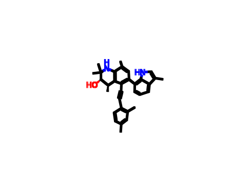 Cc1ccc(C#Cc2c(-c3cccc4c(C)c[nH]c34)cc(C)c3c2[C@@H](C)[C@H](O)C(C)(C)N3)c(C)c1